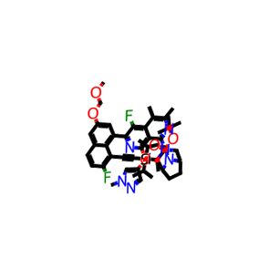 COCOc1cc(-c2nc(Oc3cnn(C)c3)c3c(N4CC5CCC(C4)N5C(=O)OC(C)(C)C)nc(C)c(C)c3c2F)c2c(C#C[Si](C(C)C)(C(C)C)C(C)C)c(F)ccc2c1